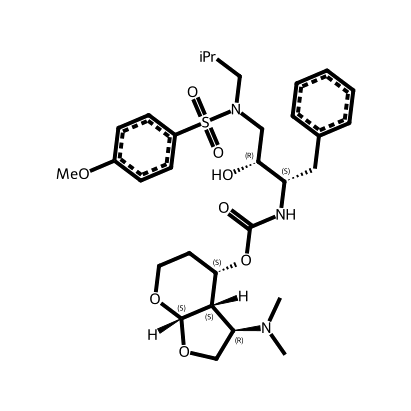 COc1ccc(S(=O)(=O)N(CC(C)C)C[C@@H](O)[C@H](Cc2ccccc2)NC(=O)O[C@H]2CCO[C@H]3OC[C@H](N(C)C)[C@H]32)cc1